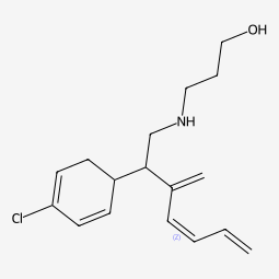 C=C/C=C\C(=C)C(CNCCCO)C1C=CC(Cl)=CC1